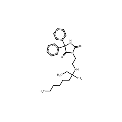 CCCCCCC(C)(CC)NCCN1C(=O)NC(c2ccccc2)(c2ccccc2)C1=O